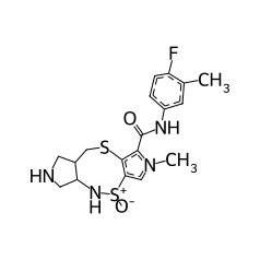 Cc1cc(NC(=O)c2c3c(cn2C)[S+]([O-])NC2CNCC2CS3)ccc1F